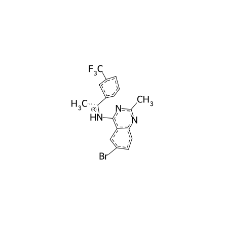 Cc1nc(N[C@H](C)c2cccc(C(F)(F)F)c2)c2cc(Br)ccc2n1